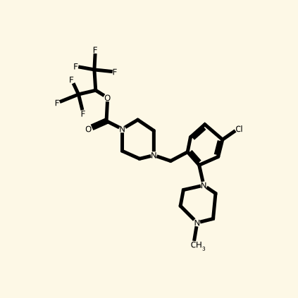 CN1CCN(c2cc(Cl)ccc2CN2CCN(C(=O)OC(C(F)(F)F)C(F)(F)F)CC2)CC1